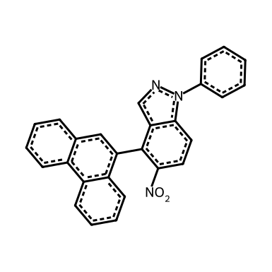 O=[N+]([O-])c1ccc2c(cnn2-c2ccccc2)c1-c1cc2ccccc2c2ccccc12